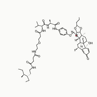 CCCC1O[C@@H]2C[C@H]3[C@@H]4C[C@H](F)C5=CC(=O)C=C[C@]5(C)[C@@]4(F)[C@@H](O)C[C@]3(C)[C@]2(C(=O)COc2ccc(NC(=O)[C@H](C)NC(=O)[C@@H](NC(=O)CCOCCNC(=O)CCC(=O)NCC[C@H](CC)[C@@H](C)CC)C(C)C)cc2)O1